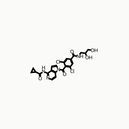 O=C(NCC(O)CO)c1cc(Cl)c(C(=O)n2ccc3c(NC(=O)C4CC4)nccc32)c(Cl)c1